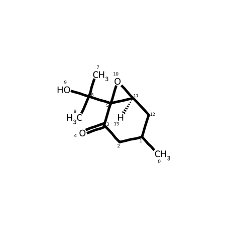 CC1CC(=O)C2(C(C)(C)O)O[C@H]2C1